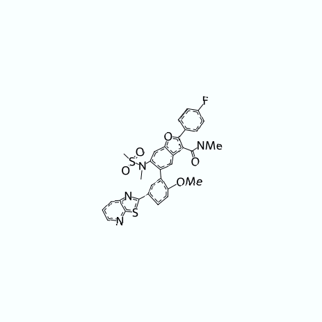 CNC(=O)c1c(-c2ccc(F)cc2)oc2cc(N(C)S(C)(=O)=O)c(-c3cc(-c4nc5cccnc5s4)ccc3OC)cc12